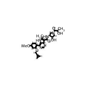 COc1ccc(-c2ncnc3c(C(=O)N[C@@H]4CN(C(=O)[C@H](C)O)C[C@H]4O)c(C)[nH]c23)c(OCC2CC2)c1